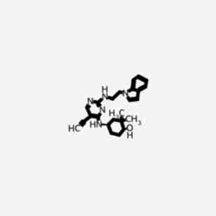 C#Cc1cnc(NCCn2ccc3ccccc32)nc1N[C@@H]1CC[C@H](O)C(C)(C)C1